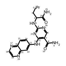 CC(C)CC(Nc1ncc(C(N)=O)c(Nc2ccc3nccnc3c2)n1)C(N)=O